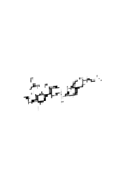 Cc1nc2c(F)cc(-c3nc(Nc4ccc5c(n4)CCN(CCN(C)C)C5)ncc3F)cc2n1CC(F)F